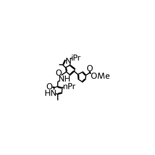 CCCc1cc(C)[nH]c(=O)c1CNC(=O)c1cc(-c2cccc(C(=O)OC)c2)cc2c1c(C)cn2C(C)C